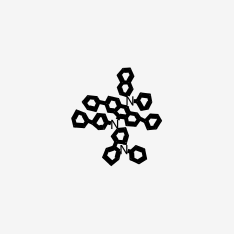 c1ccc(-c2ccc(N(c3ccc4c(c3)c3ccccc3n4-c3ccccc3)c3c4ccc(-c5ccccc5)cc4c(N(c4ccccc4)c4ccc5ccccc5c4)c4ccc(-c5ccccc5)cc34)cc2)cc1